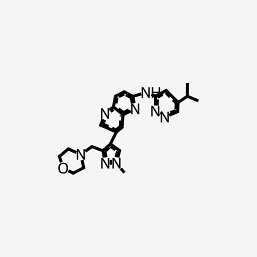 CC(C)c1cnnc(Nc2ccc3ncc(-c4cn(C)nc4CN4CCOCC4)cc3n2)c1